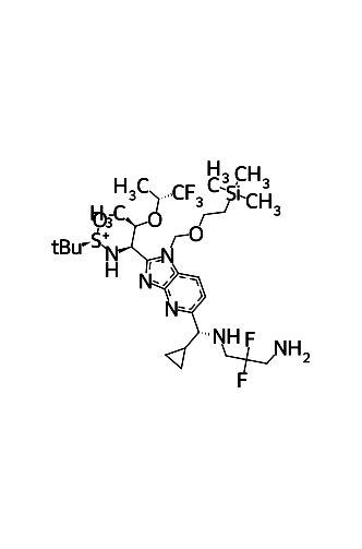 C[C@@H](O[C@H](C)C(F)(F)F)[C@H](N[S@+]([O-])C(C)(C)C)c1nc2nc([C@H](NCC(F)(F)CN)C3CC3)ccc2n1COCC[Si](C)(C)C